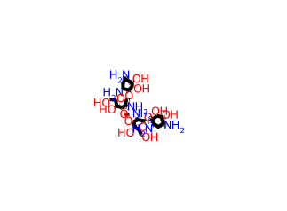 NC1C[C@@H](N)[C@@H](O)C(O)[C@@H]1O[C@H]1OC(CO)[C@@H](O)C(OCOC2[C@@H](O)C(CO)O[C@@H](O[C@H]3C(N)C[C@H](N)[C@H](O)C3O)[C@@H]2N)[C@@H]1N